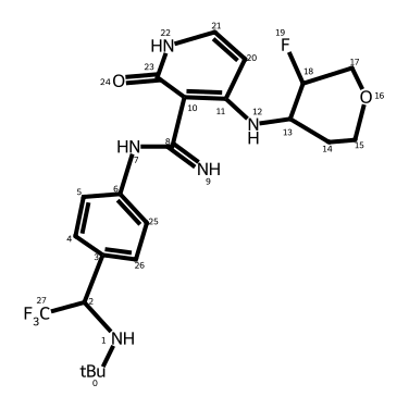 CC(C)(C)NC(c1ccc(NC(=N)c2c(NC3CCOCC3F)cc[nH]c2=O)cc1)C(F)(F)F